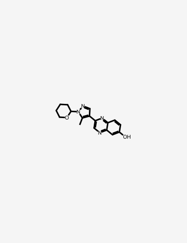 Cc1c(-c2cnc3cc(O)ccc3n2)cnn1C1CCCCO1